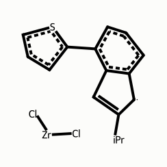 CC(C)C1=Cc2c(cccc2-c2cccs2)[CH]1.[Cl][Zr][Cl]